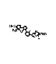 Cc1c(-c2ccn3c(=O)c(C=O)cnc3c2)cccc1-c1cccc(-c2ccc(C=O)c(C(F)(F)F)n2)c1Cl